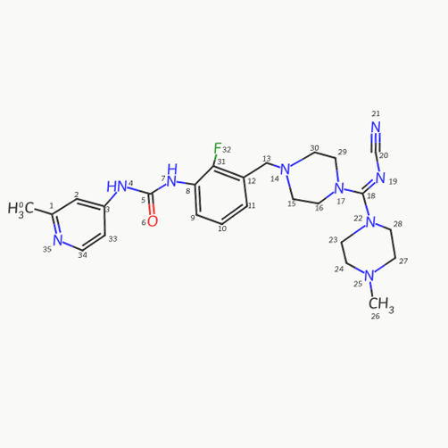 Cc1cc(NC(=O)Nc2cccc(CN3CCN(/C(=N\C#N)N4CCN(C)CC4)CC3)c2F)ccn1